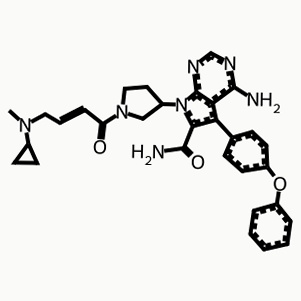 CN(CC=CC(=O)N1CCC(n2c(C(N)=O)c(-c3ccc(Oc4ccccc4)cc3)c3c(N)ncnc32)C1)C1CC1